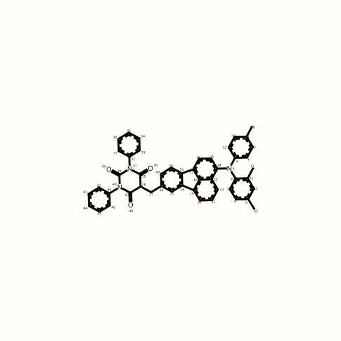 Cc1ccc(N(c2ccc(C)cc2C)c2ccc3c4c(cccc24)-c2cc(CC4C(=O)N(c5ccccc5)C(=O)N(c5ccccc5)C4=O)ccc2-3)cc1